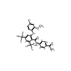 COc1cc(F)ccc1Oc1cc(C(F)(F)F)cc(C(F)(F)F)c1C(=O)Nc1ccc(C(N)=O)nc1